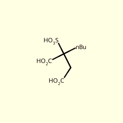 CCCCC(CC(=O)O)(C(=O)O)S(=O)(=O)O